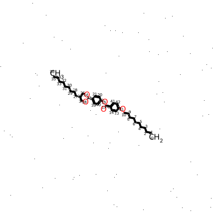 C=CCCCCCCCCCOc1ccc(C(=O)Oc2ccc([C@H]3OC[C@H](CCCCCCCCCC)CO3)cc2)cc1